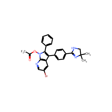 CC1(C)CNC(c2ccc(-c3c(-c4ccccc4)n(OC(=O)C(F)(F)F)c4ncc(Br)cc34)cc2)=N1